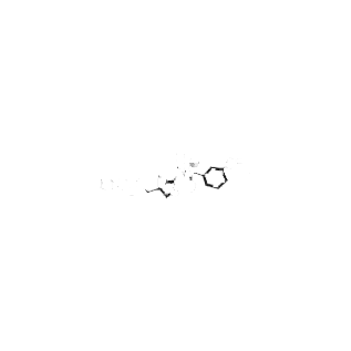 CCOC(=O)Cc1csc(NS(=O)(=O)c2cccc(C(F)(F)F)c2)n1